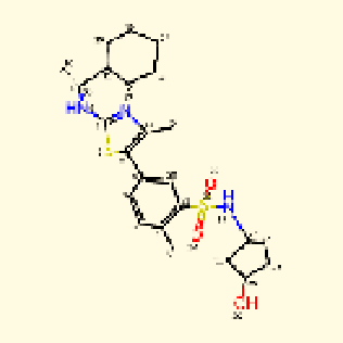 Cc1ccc(-c2sc(N[C@H](C)C3CCCCC3)nc2C)cc1S(=O)(=O)NC1CCC(O)C1